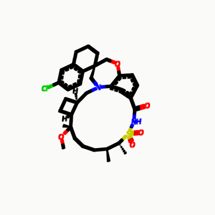 CO[C@@]1(C)CCC[C@H](C)[C@@H](C)S(=O)(=O)NC(=O)c2ccc3c(c2)N(C[C@@H]2CC[C@H]21)C[C@@]1(CCCc2cc(Cl)ccc21)CO3